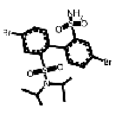 CC(C)N(C(C)C)S(=O)(=O)c1cc(Br)ccc1-c1ccc(Br)cc1S(N)(=O)=O